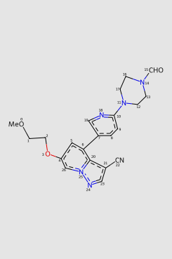 COCCOc1cc(-c2ccc(N3CCN(C=O)CC3)nc2)c2c(C#N)cnn2c1